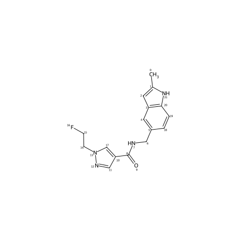 Cc1cc2cc(CNC(=O)c3cnn(CCF)c3)ccc2[nH]1